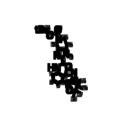 Cn1c(C(=O)Nc2cccc(B3OC(C)(C)C(C)(C)O3)c2C#N)nc2c1CCN(C(=O)OC(C)(C)C)C2